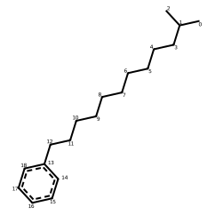 CC(C)CCCCCCCCCCc1ccccc1